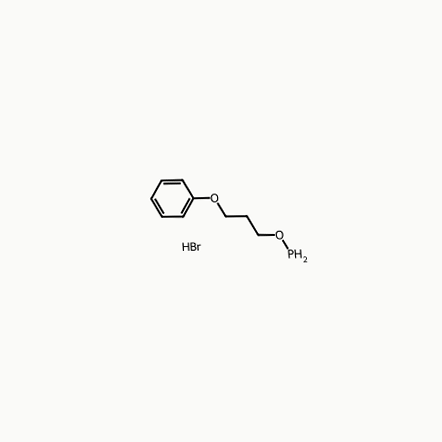 Br.POCCCOc1ccccc1